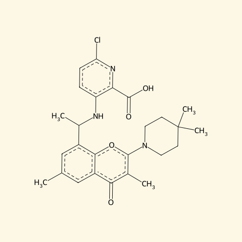 Cc1cc(C(C)Nc2ccc(Cl)nc2C(=O)O)c2oc(N3CCC(C)(C)CC3)c(C)c(=O)c2c1